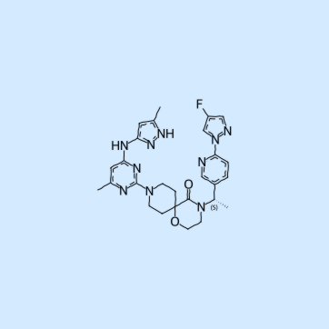 Cc1cc(Nc2cc(C)[nH]n2)nc(N2CCC3(CC2)OCCN([C@@H](C)c2ccc(-n4cc(F)cn4)nc2)C3=O)n1